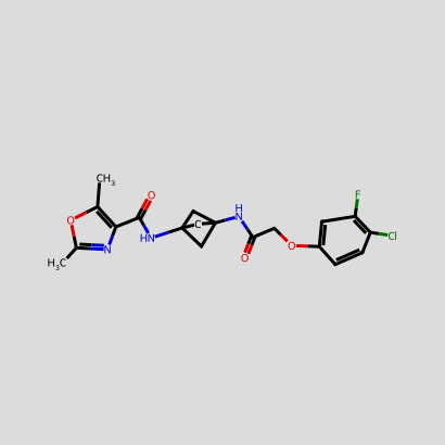 Cc1nc(C(=O)NC23CC(NC(=O)COc4ccc(Cl)c(F)c4)(C2)C3)c(C)o1